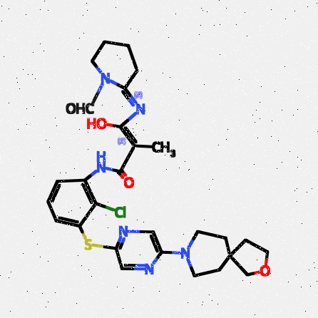 C/C(C(=O)Nc1cccc(Sc2cnc(N3CCC4(CCOC4)CC3)cn2)c1Cl)=C(O)\N=C1\CCCCN1C=O